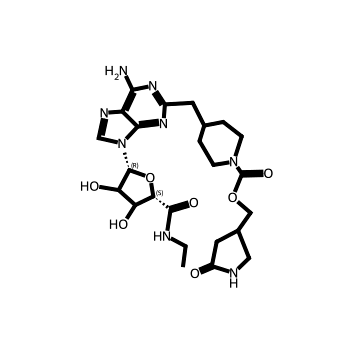 CCNC(=O)[C@H]1O[C@@H](n2cnc3c(N)nc(CC4CCN(C(=O)OCC5CNC(=O)C5)CC4)nc32)C(O)C1O